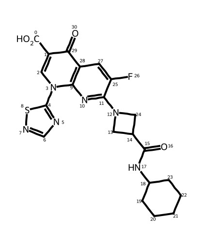 O=C(O)c1cn(-c2ncns2)c2nc(N3CC(C(=O)NC4CCCCC4)C3)c(F)cc2c1=O